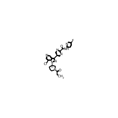 C=CC(=O)N1CCC[C@@H](n2nc(-c3cnc(C(=O)Nc4ccc(F)cn4)nc3)c3cncc(Cl)c32)C1